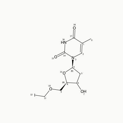 Cc1cn([C@H]2CC(O)[C@@H](COCI)O2)c(=O)[nH]c1=O